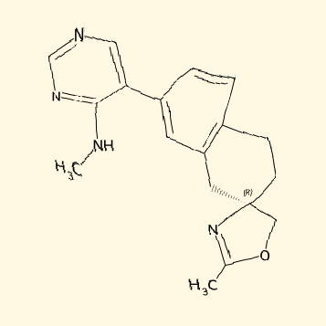 CNc1ncncc1-c1ccc2c(c1)C[C@]1(CC2)COC(C)=N1